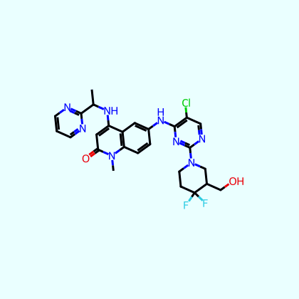 CC(Nc1cc(=O)n(C)c2ccc(Nc3nc(N4CCC(F)(F)C(CO)C4)ncc3Cl)cc12)c1ncccn1